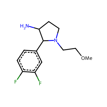 COCCN1CCC(N)C1c1ccc(F)c(F)c1